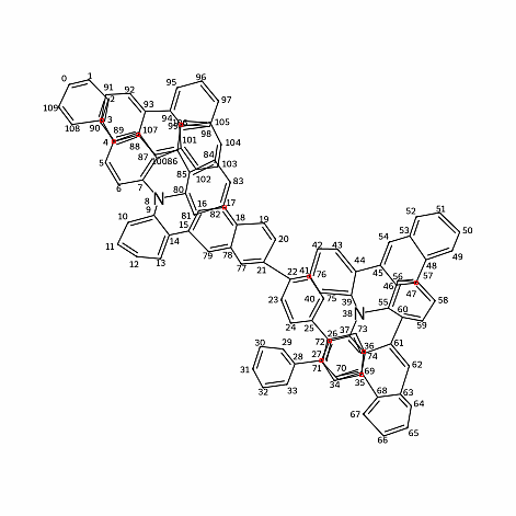 c1ccc(-c2ccc(N(c3ccccc3-c3ccc4ccc(-c5ccc(-c6c(-c7ccccc7)cccc6N(c6ccccc6-c6ccc7ccccc7c6)c6ccccc6-c6cc7ccccc7c7ccccc67)cc5)cc4c3)c3ccccc3-c3cc4ccccc4c4ccccc34)c(-c3ccccc3)c2)cc1